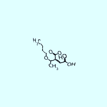 CCCCOC(C)C(=CC(=O)O)C(=O)O